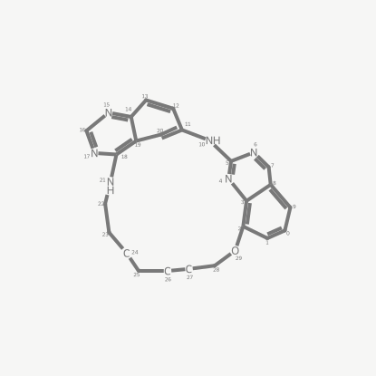 c1cc2c3nc(ncc3c1)Nc1ccc3ncnc(c3c1)NCCCCCCCO2